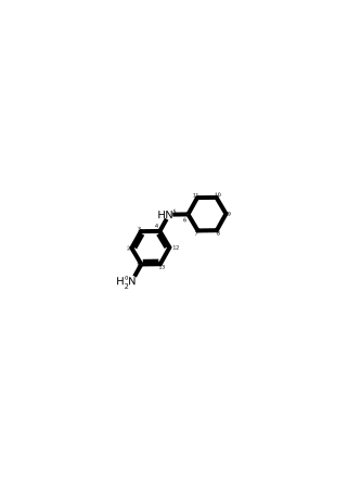 Nc1ccc(NC2CCCCC2)cc1